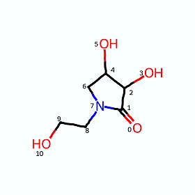 O=C1C(O)C(O)CN1CCO